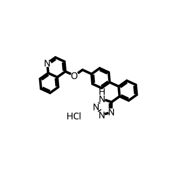 Cl.c1ccc(-c2nnn[nH]2)c(-c2ccc(COc3ccnc4ccccc34)cc2)c1